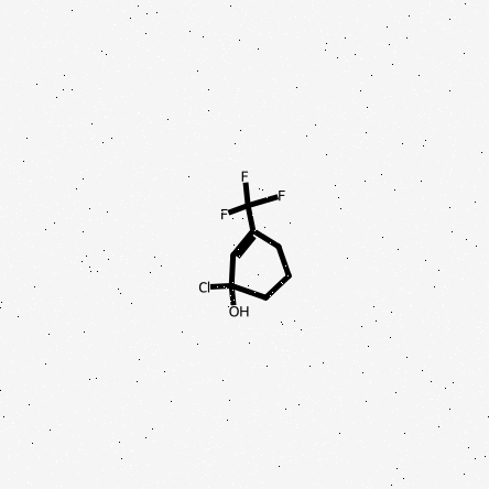 OC1(Cl)C=C(C(F)(F)F)CCC1